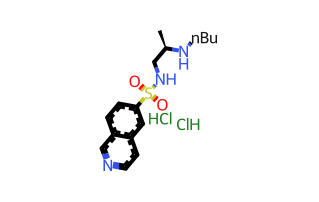 CCCCN[C@H](C)CNS(=O)(=O)c1ccc2cnccc2c1.Cl.Cl